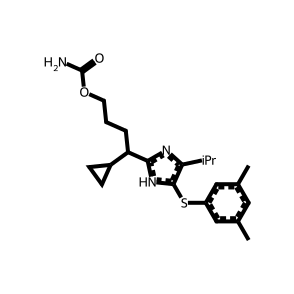 Cc1cc(C)cc(Sc2[nH]c(C(CCCOC(N)=O)C3CC3)nc2C(C)C)c1